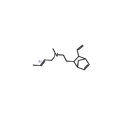 C=CC1C2C=CC(C2)C1CCN(C)C/C=C/C